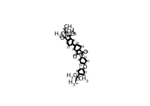 CCC(C)(C)c1ccc(Oc2ccc(N3C(=O)c4ccc(-c5ccc6c(c5)C(=O)N(C(C)(C)CC)C6=O)cc4C3=O)cc2)cc1